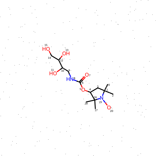 CC1(C)CC(OC(=O)NCC(O)C(O)CO)C(C)(C)N1[O]